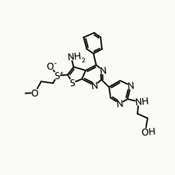 COCC[S+]([O-])c1sc2nc(-c3cnc(NCCO)nc3)nc(-c3ccccc3)c2c1N